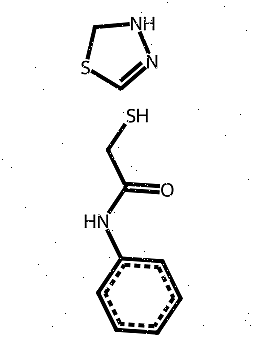 C1=NNCS1.O=C(CS)Nc1ccccc1